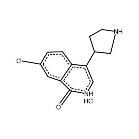 Cl.O=c1[nH]cc(C2CCNC2)c2ccc(Cl)cc12